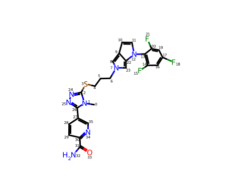 Cn1c(SCCCn2cc3ccn(-c4c(F)cc(F)cc4F)c3c2)nnc1-c1ccc(C(N)=O)nc1